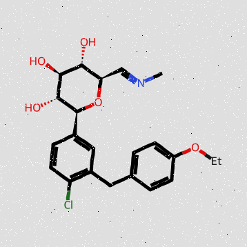 CCOc1ccc(Cc2cc([C@@H]3O[C@H](C=NC)[C@@H](O)[C@H](O)[C@H]3O)ccc2Cl)cc1